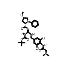 CO[C@@H]1C[C@@H](C(=O)/N=C(/NCc2cc(Cl)c(NC(=O)CN(C)C)c(Cl)c2)NC(=O)OC(C)(C)C)N(c2ccccc2)C1